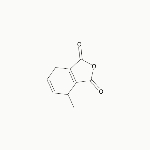 CC1C=CCC2=C1C(=O)OC2=O